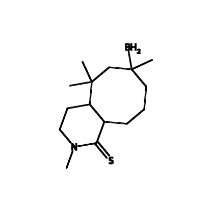 BC1(C)CCCC2C(=S)N(C)CCC2C(C)(C)C1